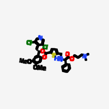 COc1ccc([C@H](Cc2c(Cl)cncc2Cl)OC(=O)c2ccc(CNC(C(=O)OCCCN(C)C)c3ccccc3)s2)cc1OC